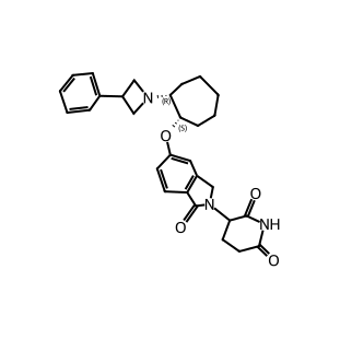 O=C1CCC(N2Cc3cc(O[C@H]4CCCCC[C@H]4N4CC(c5ccccc5)C4)ccc3C2=O)C(=O)N1